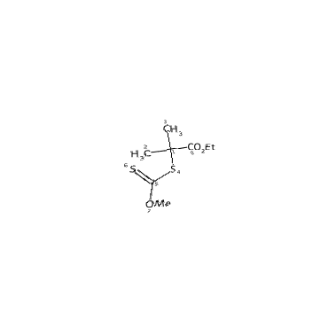 CCOC(=O)C(C)(C)SC(=S)OC